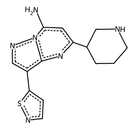 Nc1cc(C2CCCNC2)nc2c(-c3ccns3)cnn12